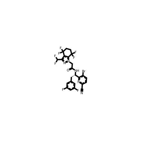 N#Cc1ccc(Br)c([C@H](Cc2cc(F)cc(F)c2)NC(=O)Cn2nc(C(F)F)c3c2C(F)(F)CCC3(F)F)n1